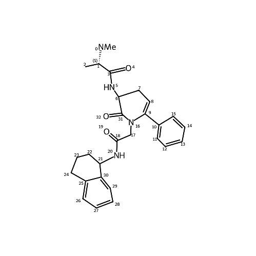 CN[C@@H](C)C(=O)NC1CC=C(c2ccccc2)N(CC(=O)NC2CCCc3ccccc32)C1=O